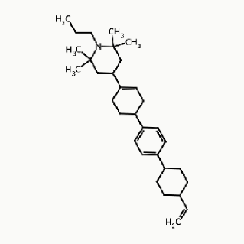 C=CC1CCC(c2ccc(C3CC=C(C4CC(C)(C)N(CCC)C(C)(C)C4)CC3)cc2)CC1